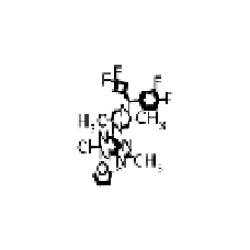 Cc1nc2c(N3C[C@@H](C)N(C(c4ccc(F)c(F)c4)C4CC(F)(F)C4)C[C@@H]3C)nc(Cl)nc2n1C[C@@H]1CCCO1